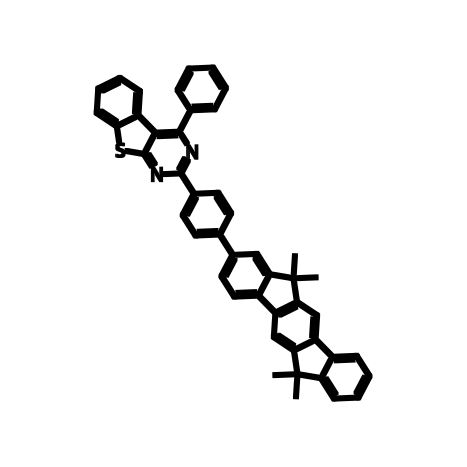 CC1(C)c2ccccc2-c2cc3c(cc21)-c1ccc(-c2ccc(-c4nc(-c5ccccc5)c5c(n4)sc4ccccc45)cc2)cc1C3(C)C